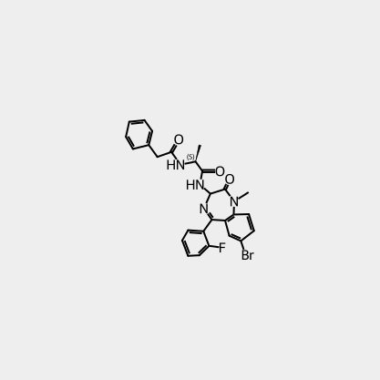 C[C@H](NC(=O)Cc1ccccc1)C(=O)NC1N=C(c2ccccc2F)c2cc(Br)ccc2N(C)C1=O